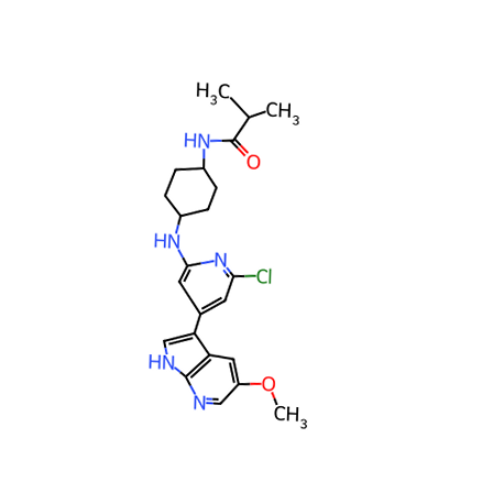 COc1cnc2[nH]cc(-c3cc(Cl)nc(NC4CCC(NC(=O)C(C)C)CC4)c3)c2c1